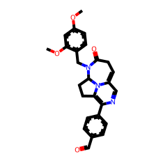 COc1ccc(CN2C(=O)CC=C3C=NC(c4ccc(C=O)cc4)=C4CCC2N34)c(OC)c1